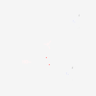 CC(C)N(Cc1ccc(P(c2ccc(CN(C(C)C)C(C)C)cc2)c2ccc3ccccc3c2-c2ccccc2O)cc1)C(C)C